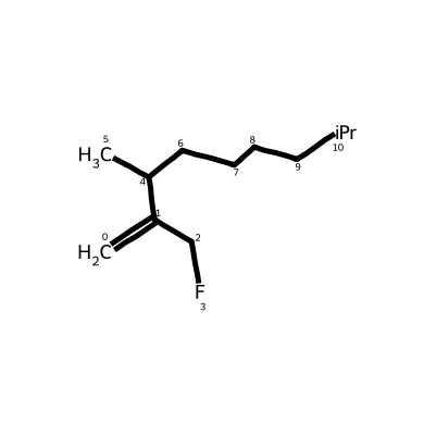 C=C(CF)C(C)CCCCC(C)C